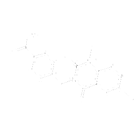 COC(=O)c1ccc(Cn2c(=O)c3cc(I)ccc3n(C)c2=O)cc1